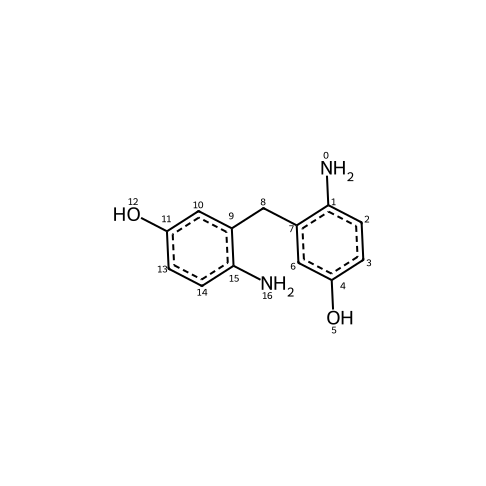 Nc1ccc(O)cc1Cc1cc(O)ccc1N